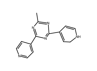 Cc1nc(C2=CCNC=C2)nc(-c2ccncc2)n1